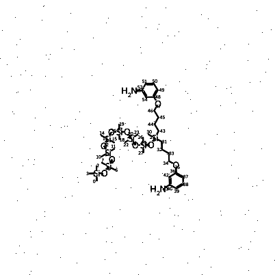 C[Si](C)(C)O[Si](C)(C)O[Si](C)(C)O[Si](C)(C)O[Si](C)(C)O[Si](C)(C)O[Si](C)(C)O[Si](C)(CCCCOc1cccc(N)c1)CCCCOc1cccc(N)c1